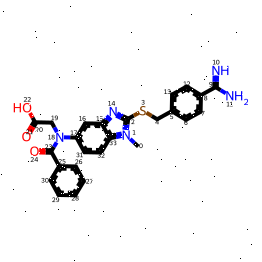 Cn1c(SCc2ccc(C(=N)N)cc2)nc2cc(N(CC(=O)O)C(=O)c3ccccc3)ccc21